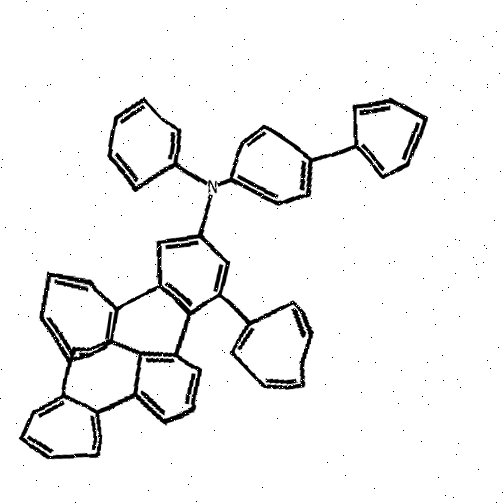 c1ccc(-c2ccc(N(c3ccccc3)c3cc(-c4ccccc4)c(-c4cccc5c4ccc4ccccc45)c(-c4ccccc4)c3)cc2)cc1